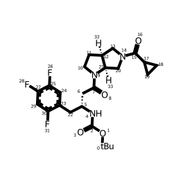 CC(C)(C)OC(=O)N[C@@H](CC(=O)N1CC[C@H]2CN(C(=O)C3CC3)C[C@H]21)Cc1cc(F)c(F)cc1F